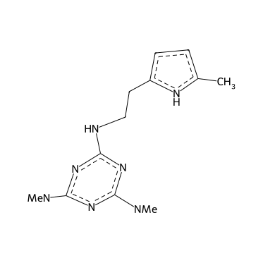 CNc1nc(NC)nc(NCCc2ccc(C)[nH]2)n1